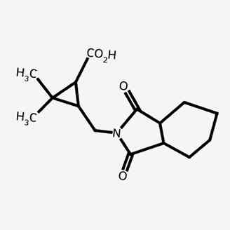 CC1(C)C(CN2C(=O)C3CCCCC3C2=O)C1C(=O)O